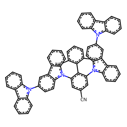 N#Cc1cc(-n2c3ccccc3c3cc(-n4c5ccccc5c5ccccc54)ccc32)c(-c2c(C#N)cccc2C(F)(F)F)c(-n2c3ccccc3c3cc(-n4c5ccccc5c5ccccc54)ccc32)c1